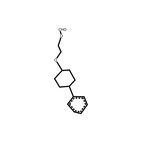 O=COCCOC1CCC(c2ccccc2)CC1